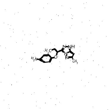 CCC(Oc1ccc(N)cc1)c1n[nH]c2cc(C)nn12